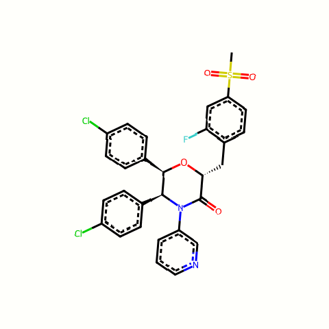 CS(=O)(=O)c1ccc(C[C@H]2O[C@H](c3ccc(Cl)cc3)[C@H](c3ccc(Cl)cc3)N(c3cccnc3)C2=O)c(F)c1